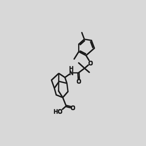 Cc1ccc(OC(C)(C)C(=O)NC2C3CC4CC2CC(C(=O)O)(C4)C3)c(C)c1